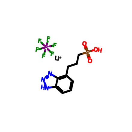 F[P-](F)(F)(F)(F)F.O=S(=O)(O)CCCc1cccc2[nH]nnc12.[Li+]